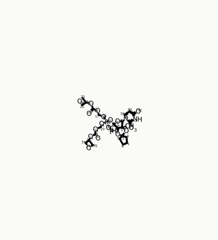 C[C@@]12OC3(CCCC3)O[C@@H]1[C@@](CF)(OP(=O)(OCOC(=O)OC1COC1)OCOC(=O)OC1COC1)O[C@H]2n1ccc(=O)[nH]c1=O